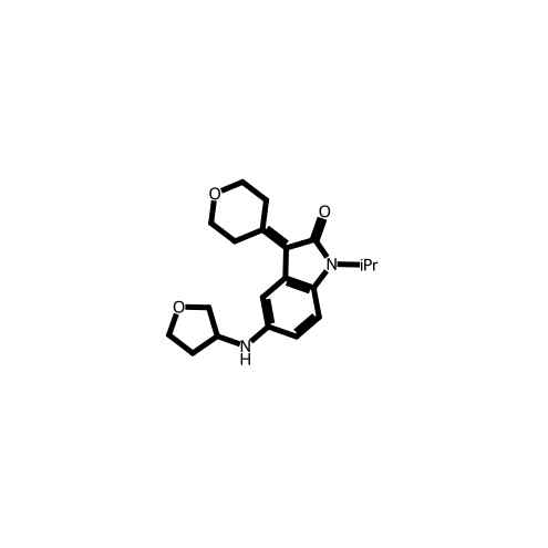 CC(C)N1C(=O)C(=C2CCOCC2)c2cc(NC3CCOC3)ccc21